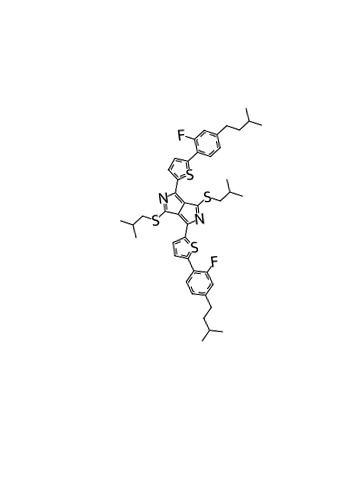 CC(C)CCc1ccc(-c2ccc(C3=C4C(SCC(C)C)=NC(c5ccc(-c6ccc(CCC(C)C)cc6F)s5)=C4C(SCC(C)C)=N3)s2)c(F)c1